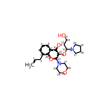 C=CCc1cccc2c(=O)c(OC(CCO)N3CCCC3)c(N3CCOCC3)oc12